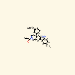 C=CC(=O)N1CCC2(c3cccc(OC)c3)Cc3[nH]c4ccc([N+](=O)[O-])cc4c3CC2C1